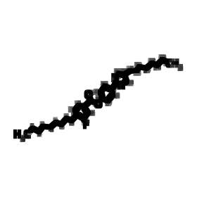 CCCCCCCCCc1ccc(C(=O)Oc2ccc(-c3ncc(CCCCCCCC)cn3)cc2)cc1F